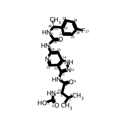 CC(C)[C@H](NC(=O)O)C(=O)Nc1n[nH]c2cc(NC(=O)N[C@H](C)c3ccc(F)cc3)ncc12